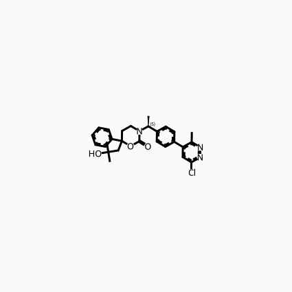 Cc1nnc(Cl)cc1-c1ccc([C@H](C)N2CCC(CC(C)(C)O)(c3ccccc3)OC2=O)cc1